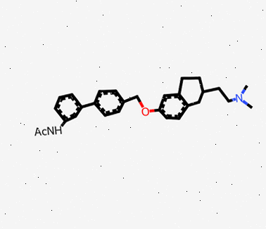 CC(=O)Nc1cccc(-c2ccc(COc3ccc4c(c3)CCC(CCN(C)C)C4)cc2)c1